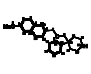 COc1ccc2nc(COCC3(c4ccccc4)CCNCC3)ccc2c1